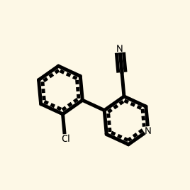 N#Cc1cnccc1-c1ccccc1Cl